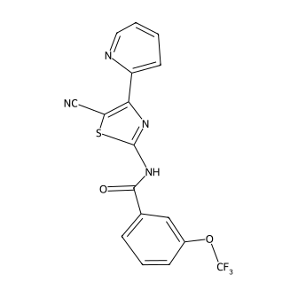 N#Cc1sc(NC(=O)c2cccc(OC(F)(F)F)c2)nc1-c1ccccn1